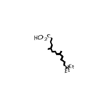 CCN(CC)CCCCC(C)=CCCC(C)=CCCC(=O)O